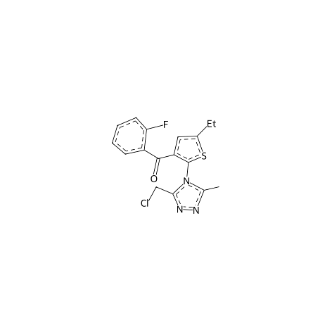 CCc1cc(C(=O)c2ccccc2F)c(-n2c(C)nnc2CCl)s1